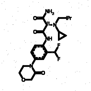 CC(C)CN(C1CC1)[C@@H](C(N)=O)C(=O)Nc1ccc(N2CCOCC2=O)cc1C(F)F